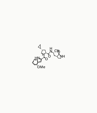 COc1cccc2[nH]c(C(=O)N3C[C@H](C4CC4)C[C@H]3C(=O)N[C@H](C#N)C[C@@H]3CCNC3=O)cc12